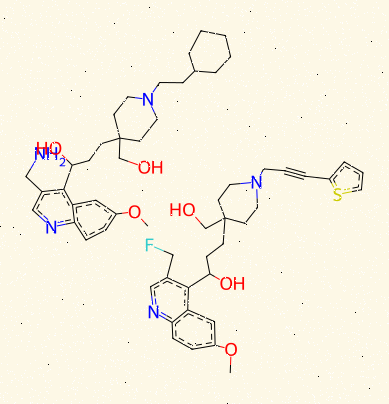 COc1ccc2ncc(CF)c(C(O)CCC3(CO)CCN(CC#Cc4cccs4)CC3)c2c1.COc1ccc2ncc(CN)c(C(O)CCC3(CO)CCN(CCC4CCCCC4)CC3)c2c1